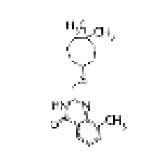 Cc1cccc2c(=O)[nH]c(CSC3CCCC(C)(C)CC3)nc12